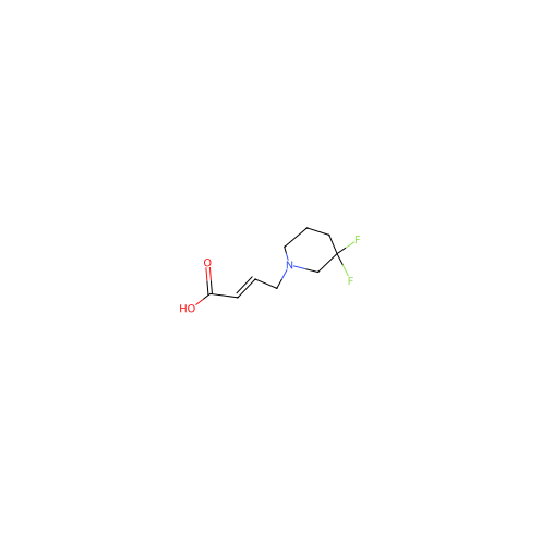 O=C(O)C=CCN1CCCC(F)(F)C1